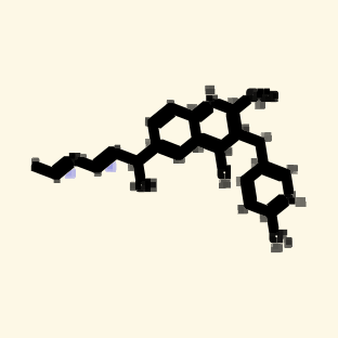 C/C=N/C=C/C(O)c1ccc2nc(OC)c(Cc3ccc(C(F)(F)F)nc3)c(Cl)c2c1